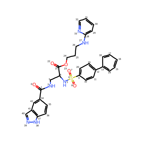 O=C(NCC(NS(=O)(=O)c1ccc(-c2ccccc2)cc1)C(=O)OCCCNc1ccccn1)c1ccc2[nH]ncc2c1